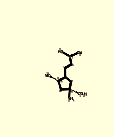 N[C@]1(C(=O)O)CC(CCB(O)O)[C@@H](O)C1